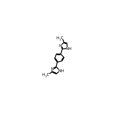 Cc1c[nH]c(-c2ccc(-c3nc(C)c[nH]3)cc2)n1